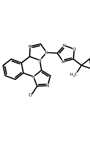 CC1(c2nc(N3C=NC4c5ccccc5-n5c(cnc5Cl)N43)no2)CC1